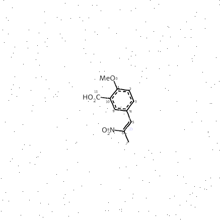 COc1ccc(/C=C(/C)[N+](=O)[O-])cc1C(=O)O